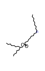 CCCCCCCC/C=C\CCCCCCCC(=O)OCC(CCCCC)CCCCCCC